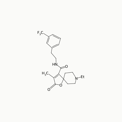 CCN1CCC2(CC1)OC(=O)C(C)=C2C(=O)NCCc1cccc(C(F)(F)F)c1